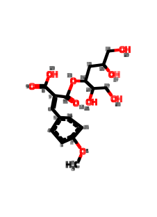 COc1ccc(C=C(C(=O)O)C(=O)OC(CC(O)CO)C(O)CO)cc1